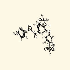 Cn1ccc(NC(=O)c2cc(Oc3ccc(S(C)(=O)=O)c(F)c3)c3c(c2)OC(C)(C)C3)n1